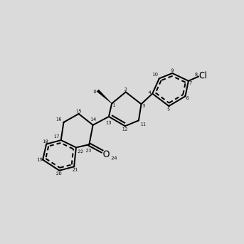 C[C@H]1CC(c2ccc(Cl)cc2)CC=C1C1CCc2ccccc2C1=O